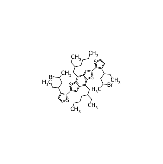 CCCCC(CC)Cc1c2cc(-c3sccc3C(CC)CC(C)Br)sc2c(CC(CC)CCCC)c2cc(-c3sccc3C(CC)CC(C)Br)sc12